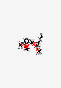 CC(C)(C)OOC1(OOC(C)(C)C)CCCCC1.CCCCCCC(C)(OOC(C)(C)C)OOC(C)(C)C